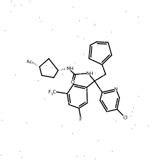 CC(=O)[C@H]1CC[C@@H](NC(=O)NC(Cc2ccccc2)(c2cc(F)cc(C(F)(F)F)c2)c2ccc(Cl)cn2)C1